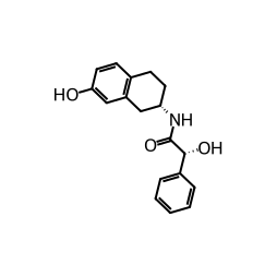 O=C(N[C@H]1CCc2ccc(O)cc2C1)[C@H](O)c1ccccc1